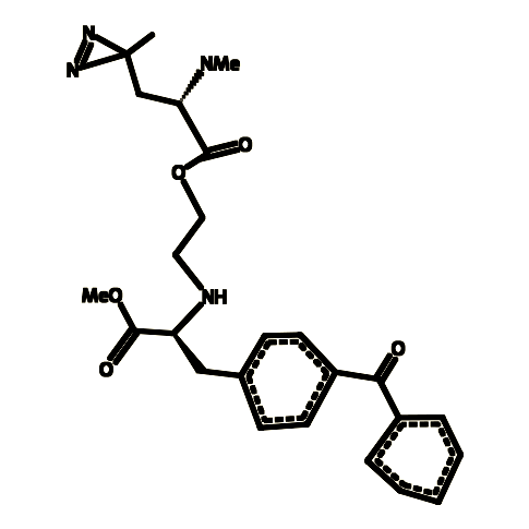 CN[C@@H](CC1(C)N=N1)C(=O)OCCN[C@@H](Cc1ccc(C(=O)c2ccccc2)cc1)C(=O)OC